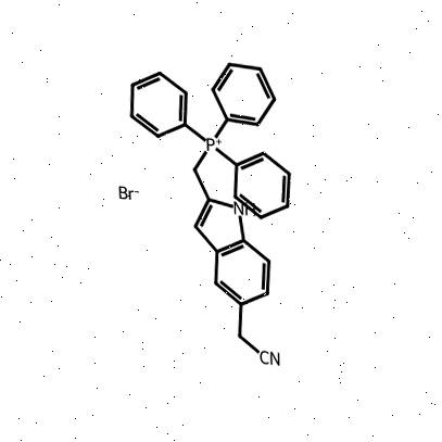 N#CCc1ccc2[nH]c(C[P+](c3ccccc3)(c3ccccc3)c3ccccc3)cc2c1.[Br-]